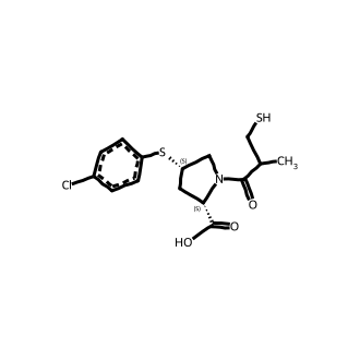 CC(CS)C(=O)N1C[C@@H](Sc2ccc(Cl)cc2)C[C@H]1C(=O)O